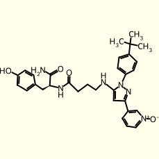 CC(C)(C)c1ccc(-n2nc(-c3ccc[n+]([O-])c3)cc2NCCCC(=O)N[C@@H](Cc2ccc(O)cc2)C(N)=O)cc1